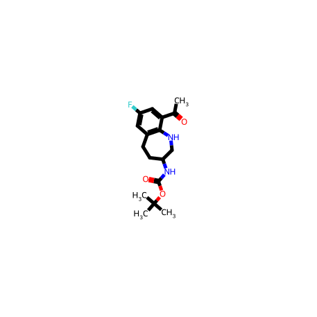 CC(=O)c1cc(F)cc2c1NCC(NC(=O)OC(C)(C)C)CC2